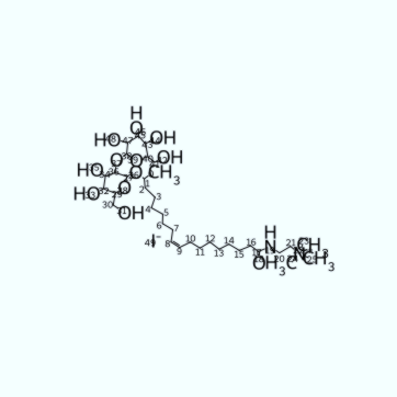 CC(CCCCCC/C=C\CCCCCCCC(=O)NCC[N+](C)(C)C)OC1OC(CO)C(O)C(O)C1OC1OC(CO)C(O)C(O)C1O.[I-]